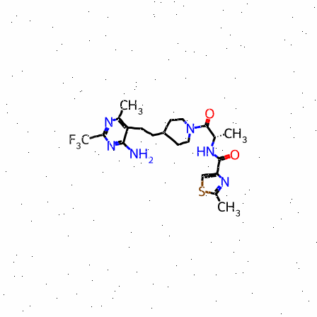 Cc1nc(C(=O)N[C@@H](C)C(=O)N2CCC(CCc3c(C)nc(C(F)(F)F)nc3N)CC2)cs1